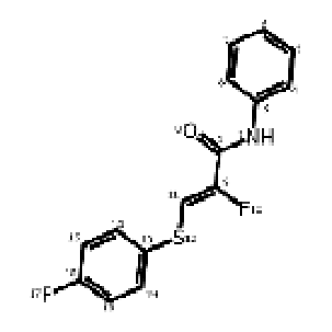 O=C(Nc1ccccc1)C(F)=CSc1ccc(F)cc1